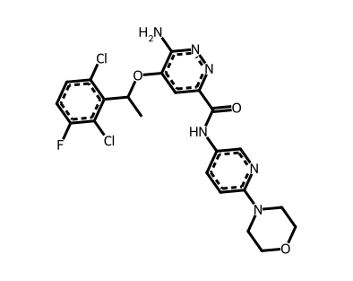 CC(Oc1cc(C(=O)Nc2ccc(N3CCOCC3)nc2)nnc1N)c1c(Cl)ccc(F)c1Cl